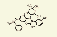 CC(C)C(=O)N1c2cccc(O)c2NC2=C(C(=O)CC(C)(C)C2)C1c1ccc(O[C@@H](C)c2ccccc2)cc1F